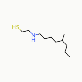 CCCC(C)CCCCNCCS